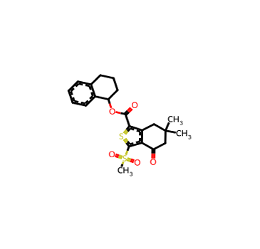 CC1(C)CC(=O)c2c(S(C)(=O)=O)sc(C(=O)OC3CCCc4ccccc43)c2C1